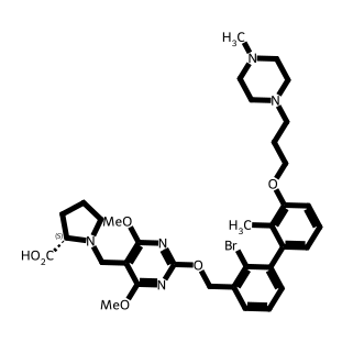 COc1nc(OCc2cccc(-c3cccc(OCCCN4CCN(C)CC4)c3C)c2Br)nc(OC)c1CN1CCC[C@H]1C(=O)O